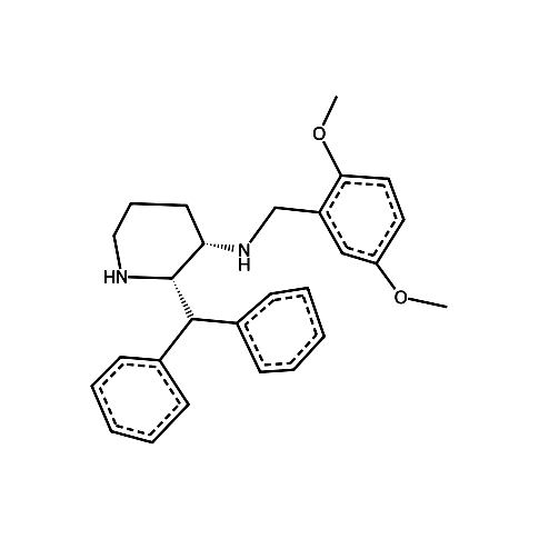 COc1ccc(OC)c(CN[C@H]2CCCN[C@H]2C(c2ccccc2)c2ccccc2)c1